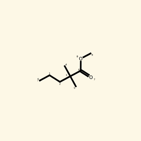 [CH2]CCC(C)(C)C(=O)OC